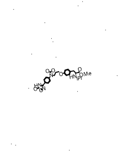 COC(=O)C(Cc1ccc(OCC2CN(c3ccc(-c4noc(=O)[nH]4)cc3)C(=O)O2)cc1)NC(C)C